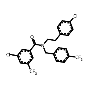 O=C(c1cc(Cl)cc(C(F)(F)F)c1)N(CCc1ccc(Cl)cc1)Cc1ccc(C(F)(F)F)cc1